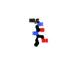 C=CC[C@@H](CO)NC(=O)CNC(=O)O